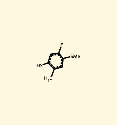 CSc1cc(C)c(S)cc1F